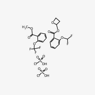 COC(=O)c1ccccc1OC(F)(F)F.O=C(OC1CCO1)c1ccccc1OC(F)F.O=S(=O)(O)Cl.O=S(=O)(O)Cl